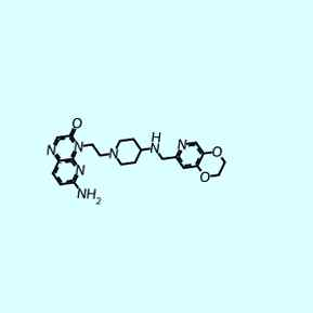 Nc1ccc2ncc(=O)n(CCN3CCC(NCc4cc5c(cn4)OCCO5)CC3)c2n1